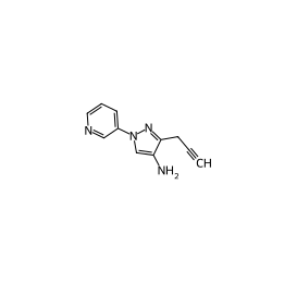 C#CCc1nn(-c2cccnc2)cc1N